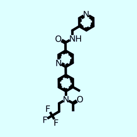 CC(=O)N(CCC(F)(F)F)c1ccc(-c2ccc(C(=O)NCc3cccnc3)cn2)cc1C